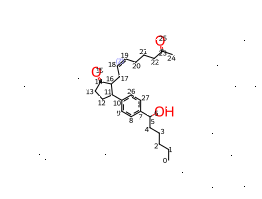 CCCCCC(O)c1ccc(C2CCC(=O)C2C/C=C\CCCC(C)=O)cc1